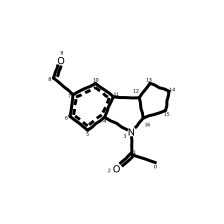 CC(=O)N1c2ccc(C=O)cc2C2CCCC21